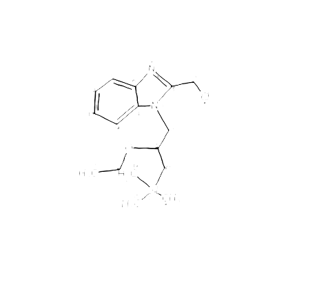 CCOC(Cn1c(CCl)nc2ccccc21)C[Si](C)(C)C